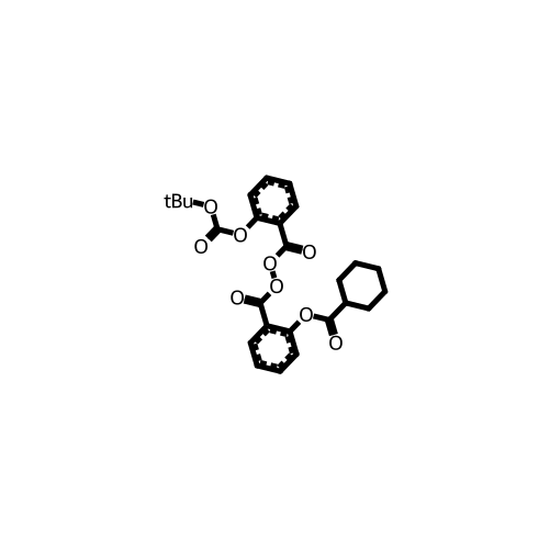 CC(C)(C)OC(=O)Oc1ccccc1C(=O)OOC(=O)c1ccccc1OC(=O)C1CCCCC1